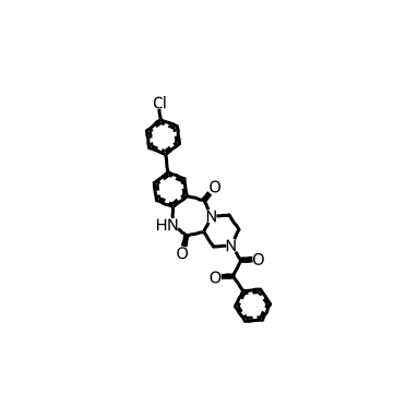 O=C(C(=O)N1CCN2C(=O)c3cc(-c4ccc(Cl)cc4)ccc3NC(=O)C2C1)c1ccccc1